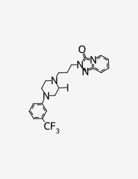 O=c1n(CCCN2CCN(c3cccc(C(F)(F)F)c3)CC2I)nc2ccccn12